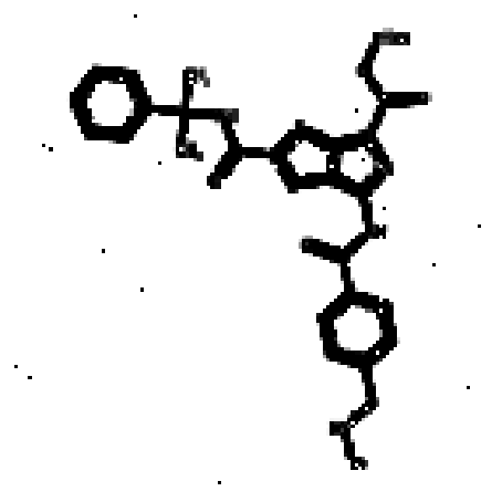 CCCCCCOC(=O)n1nc(NC(=O)c2ccc(CNC(C)C)cc2)c2cc(C(=O)NC(C)(C)c3ccccc3)sc21